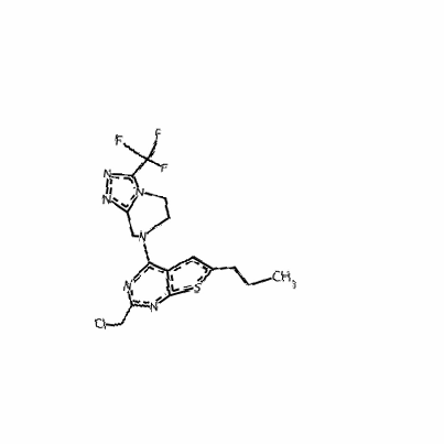 CCCc1cc2c(N3CCn4c(nnc4C(F)(F)F)C3)nc(CCl)nc2s1